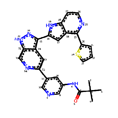 CC(C)(C)C(=O)Nc1cncc(-c2cc3c(-c4cc5c(-c6cccs6)nccc5[nH]4)n[nH]c3cn2)c1